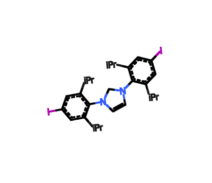 CC(C)c1cc(I)cc(C(C)C)c1N1C=CN(c2c(C(C)C)cc(I)cc2C(C)C)C1